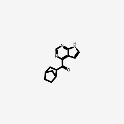 O=C(c1ncnc2[nH]ccc12)C1CC2CCC1C2